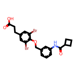 O=C(O)CCc1cc(Br)c(OCc2cccc(NC(=O)C3CCC3)c2)c(Br)c1